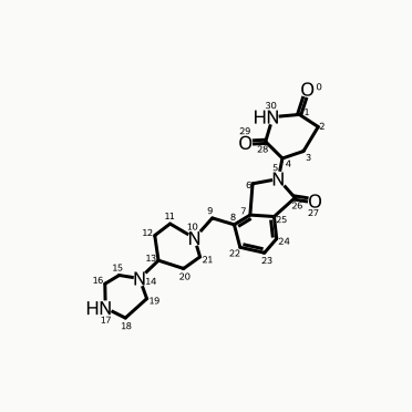 O=C1CCC(N2Cc3c(CN4CCC(N5CCNCC5)CC4)cccc3C2=O)C(=O)N1